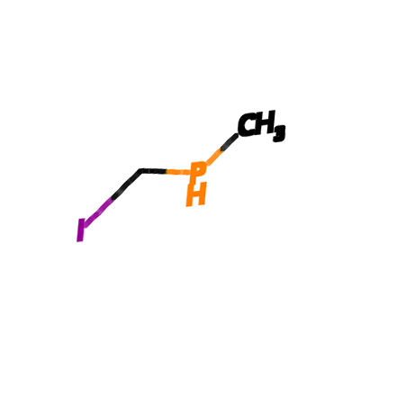 CPCI